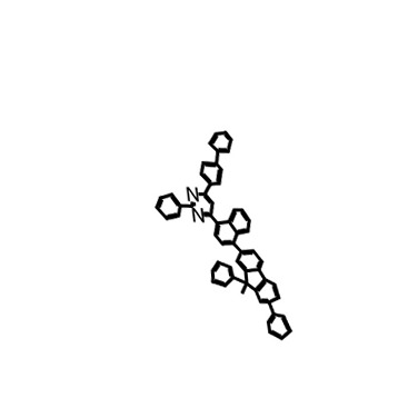 CC1(c2ccccc2)c2cc(-c3ccccc3)ccc2-c2ccc(-c3ccc(-c4cc(-c5ccc(-c6ccccc6)cc5)nc(-c5ccccc5)n4)c4ccccc34)cc21